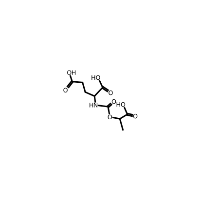 CC(OC(=O)NC(CCC(=O)O)C(=O)O)C(=O)O